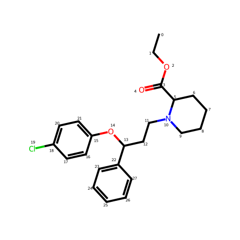 CCOC(=O)C1CCCCN1CCC(Oc1ccc(Cl)cc1)c1ccccc1